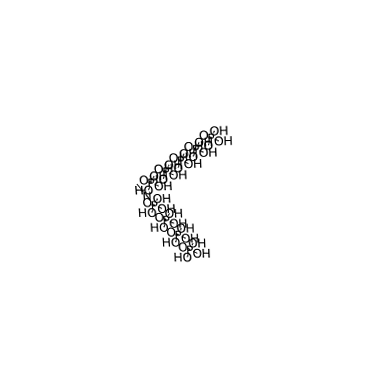 CC#N.O=P(O)(O)O.O=P(O)(O)O.O=P(O)(O)O.O=P(O)(O)O.O=P(O)(O)O.O=P(O)(O)O.O=P(O)(O)O.O=P(O)(O)O.O=P(O)(O)O